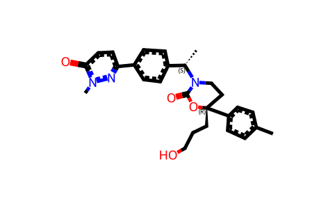 Cc1ccc([C@@]2(CCCO)CCN([C@@H](C)c3ccc(-c4ccc(=O)n(C)n4)cc3)C(=O)O2)cc1